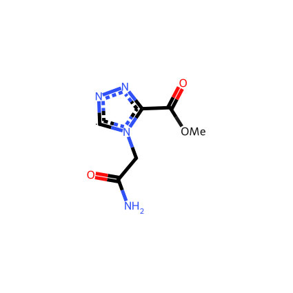 COC(=O)c1nn[c]n1CC(N)=O